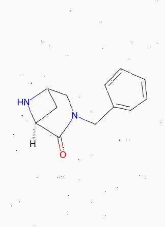 O=C1[C@@H]2CC(CN1Cc1ccccc1)N2